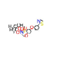 CC(C)(C)OC(=O)N1CCOc2ccc(Oc3cccc(-c4nccs4)c3)cc2S1(=O)=O